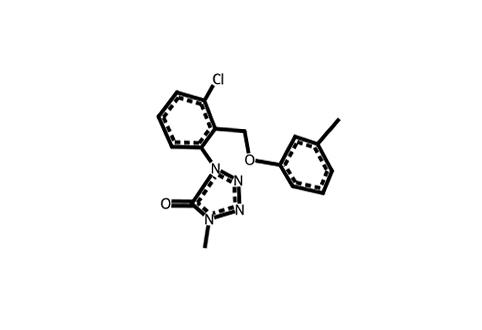 Cc1cccc(OCc2c(Cl)cccc2-n2nnn(C)c2=O)c1